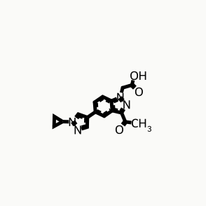 CC(=O)c1nn(CC(=O)O)c2ccc(-c3cnn(C4CC4)c3)cc12